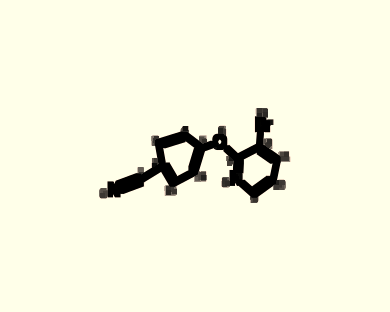 N#Cc1ccc(Oc2ncccc2Br)cc1